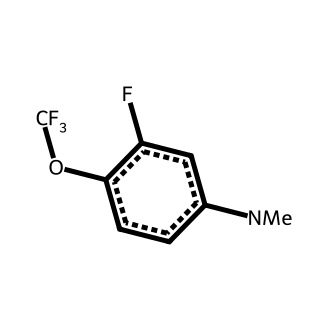 CNc1ccc(OC(F)(F)F)c(F)c1